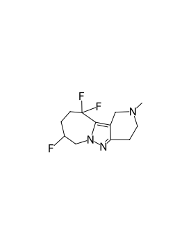 CN1CCc2nn3c(c2C1)C(F)(F)CCC(F)C3